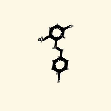 O=[N+]([O-])c1ccc(Cl)nc1OCc1ccc(F)cc1